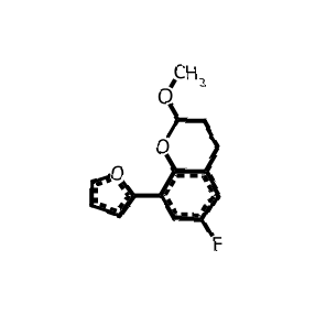 COC1CCc2cc(F)cc(-c3ccco3)c2O1